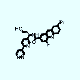 CC(C)C1CCc2nc3c(F)cc(C(=O)N[C@H](CCO)c4ccc(-c5ccnnc5)nc4)cc3cc2C1